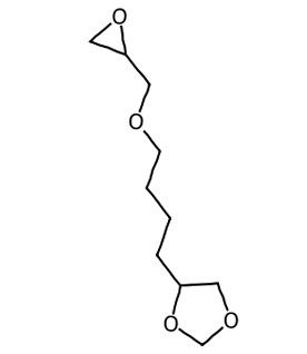 C(CCC1COCO1)COCC1CO1